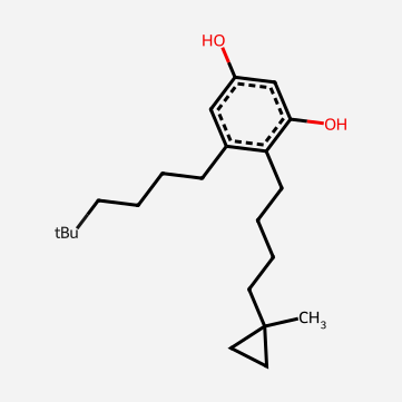 CC(C)(C)CCCCc1cc(O)cc(O)c1CCCCC1(C)CC1